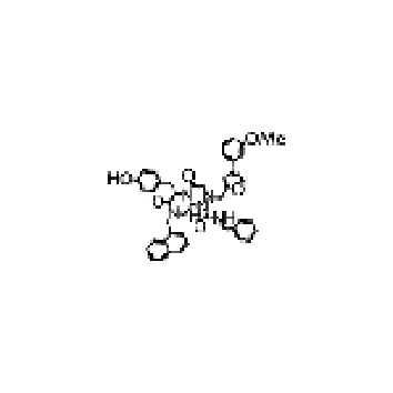 COc1cccc(-c2cc(CN3CC(=O)N4[C@@H](Cc5ccc(O)cc5)C(=O)N(Cc5cccc6ccccc56)C[C@@H]4N3C(=O)NCc3ccccc3)on2)c1